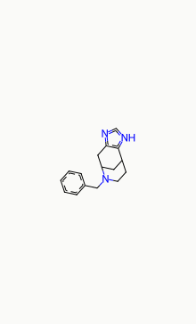 c1ccc(CN2CCC3CC2Cc2nc[nH]c23)cc1